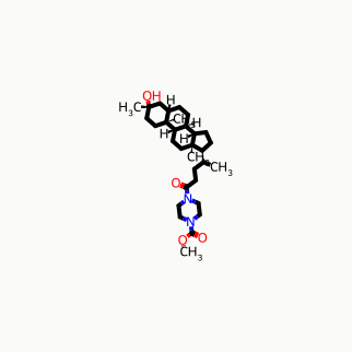 COC(=O)N1CCN(C(=O)CCC(C)[C@H]2CC[C@H]3[C@@H]4CC[C@H]5C[C@@](C)(O)CC[C@]5(C)[C@H]4CC[C@]23C)CC1